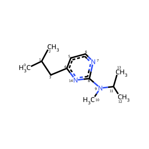 CC(C)Cc1ccnc(N(C)C(C)C)n1